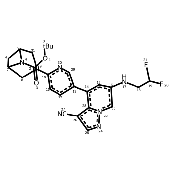 CC(C)(C)OC(=O)N1C2CC1CN(c1ccc(-c3cc(NCC(F)F)cn4ncc(C#N)c34)cn1)C2